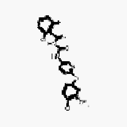 O=C(NC(=O)c1c(F)cccc1Cl)Nc1ccc(Oc2ccc(Cl)c(C(F)(F)F)c2)nc1